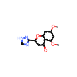 COc1cc(OC)c2c(=O)cc(-c3nc[nH]n3)oc2c1